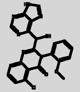 COc1ccccc1-n1c(C(S)c2ncnc3[nH]cnc23)nc2cccc(Cl)c2c1=O